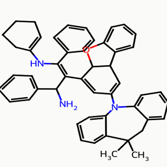 CC1(C)Cc2ccccc2N(C2=CC3c4ccccc4OC3C(/C(=C(/NC3=CCCCC3)c3ccccc3)C(N)c3ccccc3)=C2)c2ccccc21